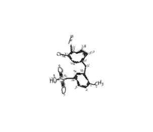 Cc1ccc(S(=O)(=O)O)cc1Cc1ccc(F)c(Cl)c1